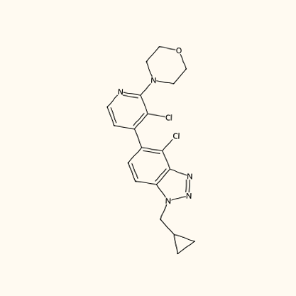 Clc1c(-c2ccc3c(nnn3CC3CC3)c2Cl)ccnc1N1CCOCC1